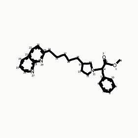 COC(=O)C(c1ccccc1)N1CCC(CCCCCc2ccc3cccnc3n2)C1